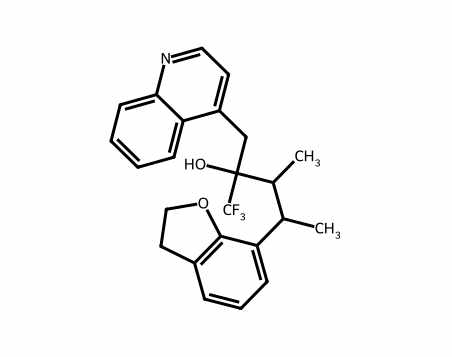 CC(c1cccc2c1OCC2)C(C)C(O)(Cc1ccnc2ccccc12)C(F)(F)F